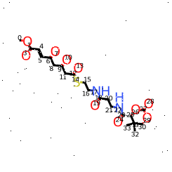 COC(=O)/C=C/C(=O)CC(=O)CC(=O)SCCNC(=O)CCNC(=O)[C@@H]1OC(=O)OCC1(C)C